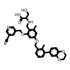 Cc1cc(OCc2cccc(-c3ccc4c(c3)OCCO4)c2C)cc(OCc2cncc(C#N)c2)c1CNC(CO)C(=O)O